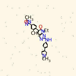 CCn1c(=O)c(-c2ccc(-c3noc(C)n3)cc2C)cc2cnc(Nc3ccc(C4=CCN(C)CC4)cc3)nc21